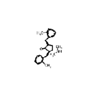 CNC.Cc1ccccc1C=C1CCC(=Cc2ccccc2C)C1=O